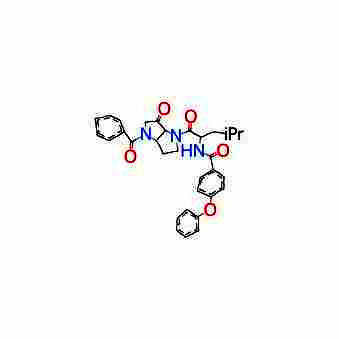 CC(C)CC(NC(=O)c1ccc(Oc2ccccc2)cc1)C(=O)N1CCC2C1C(=O)CN2C(=O)c1ccccc1